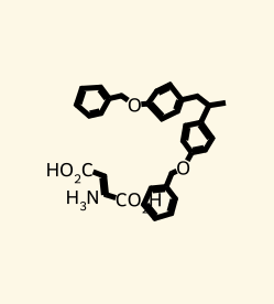 CC(Cc1ccc(OCc2ccccc2)cc1)c1ccc(OCc2ccccc2)cc1.N.O=C(O)C=CC(=O)O